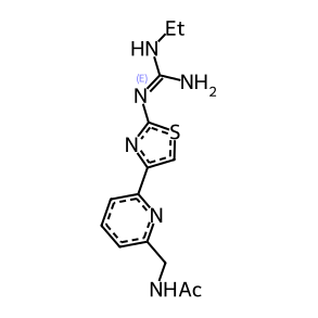 CCN/C(N)=N/c1nc(-c2cccc(CNC(C)=O)n2)cs1